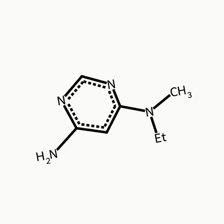 CCN(C)c1cc(N)ncn1